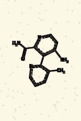 Cc1cccnc1-c1c(N)ccnc1C(N)=O